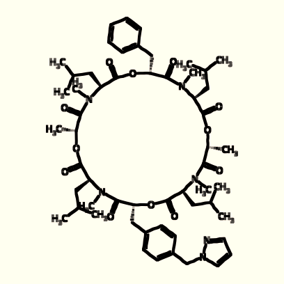 CC(C)C[C@H]1C(=O)O[C@H](Cc2ccc(Cn3cccn3)cc2)C(=O)N(C)[C@@H](CC(C)C)C(=O)O[C@H](C)C(=O)N(C)[C@@H](CC(C)C)C(=O)O[C@H](Cc2ccccc2)C(=O)N(C)[C@@H](CC(C)C)C(=O)O[C@H](C)C(=O)N1C